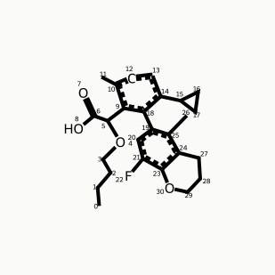 CCCCOC(C(=O)O)c1c(C)ccc(C2CC2)c1-c1cc(F)c2c(c1C)CCCO2